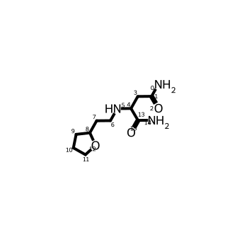 NC(=O)CC(NCCC1CCCO1)C(N)=O